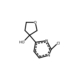 OC1(c2ccnc(Cl)n2)CCOC1